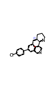 Clc1ccc(-c2cccc(/C=C3/CCCN=C3c3cccnc3)c2)cc1